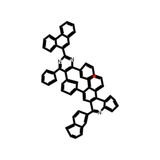 c1ccc(-c2nc(-c3cc4ccccc4c4ccccc34)nc(-c3ccccc3)c2-c2cccc(-c3cc4c(-c5ccc6ccccc6c5)nc5ccccc5c4c4ccccc34)c2)cc1